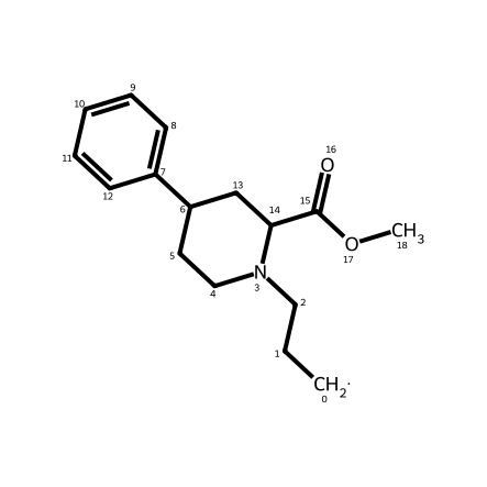 [CH2]CCN1CCC(c2ccccc2)CC1C(=O)OC